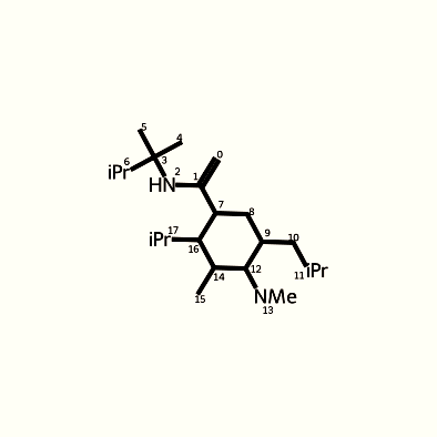 C=C(NC(C)(C)C(C)C)C1CC(CC(C)C)C(NC)C(C)C1C(C)C